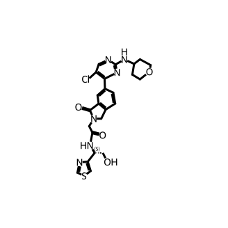 O=C(CN1Cc2ccc(-c3nc(NC4CCOCC4)ncc3Cl)cc2C1=O)N[C@H](CO)c1cscn1